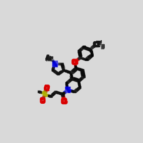 CC(=O)N1CCC(c2c(Oc3ccc(C(F)(F)F)cc3)ccc3c2CN(C(=O)CCS(C)(=O)=O)CC3)C1